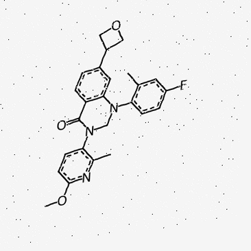 COc1ccc(N2CN(c3ccc(F)cc3C)c3cc(C4COC4)ccc3C2=O)c(C)n1